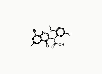 CSc1ccc(Cl)cc1N(C(=O)O)n1cnc2c(Br)cc(C)cc2c1=O